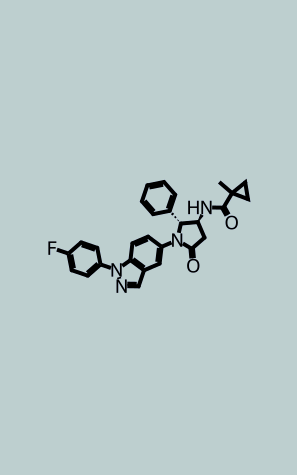 CC1(C(=O)N[C@H]2CC(=O)N(c3ccc4c(cnn4-c4ccc(F)cc4)c3)[C@@H]2c2ccccc2)CC1